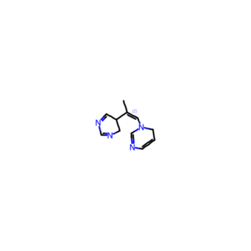 C/C(=C/N1C=NC=CC1)C1C=NC=NC1